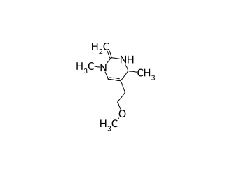 C=C1NC(C)C(CCOC)=CN1C